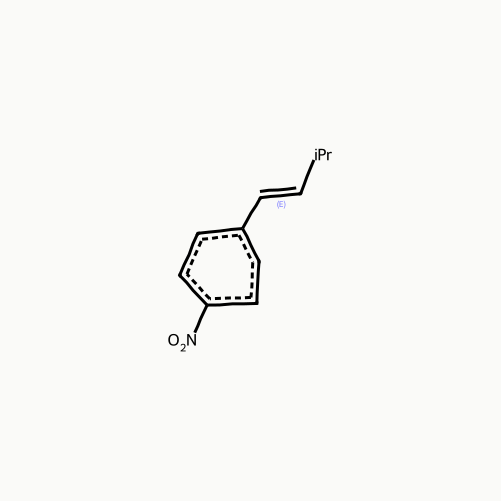 CC(C)/C=C/c1ccc([N+](=O)[O-])cc1